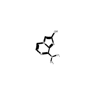 CN(C)c1nccn2cc(O)nc12